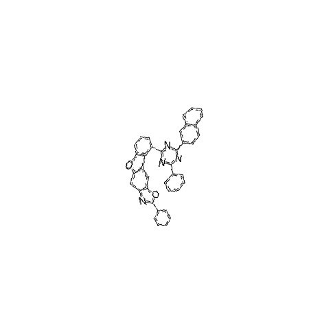 c1ccc(-c2nc(-c3ccc4ccccc4c3)nc(-c3cccc4oc5cc6nc(-c7ccccc7)oc6cc5c34)n2)cc1